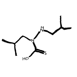 CC(C)CNN(CC(C)C)C(O)=S